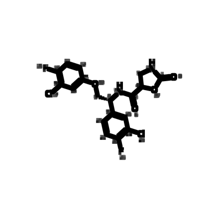 O=C1NCC(C(=O)N[C@@H](COc2ccc(F)c(Cl)c2)c2ccc(F)c(Cl)c2)O1